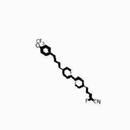 N#CC(F)=CCC[C@H]1CC[C@H]([C@H]2CC[C@H](CCCCc3ccc(OC(F)(F)F)cc3)CC2)CC1